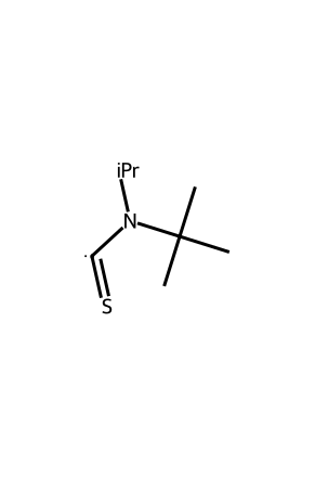 CC(C)N([C]=S)C(C)(C)C